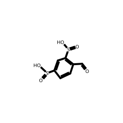 O=Cc1ccc(S(=O)O)cc1S(=O)O